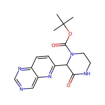 CC(C)(C)OC(=O)N1CCNC(=O)C1c1ccc2ncncc2n1